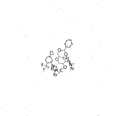 COC1C(N=[N+]=[N-])[C@H]2OC(c3ccccc3)OCC2O[C@H]1c1cc(Br)nn1-c1cc(Cl)ccc1C(F)(F)F